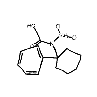 O=C(O)N([SiH](Cl)Cl)C1(c2ccccc2)CCCCC1